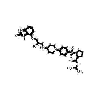 CC(C)OC(=O)C1CCCN1S(=O)(=O)c1ccc(N2CCC(NCC(O)COc3cccc4[nH]c(=O)[nH]c34)CC2)cc1